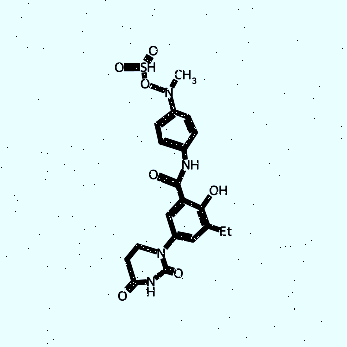 CCc1cc(N2CCC(=O)NC2=O)cc(C(=O)Nc2ccc(N(C)O[SH](=O)=O)cc2)c1O